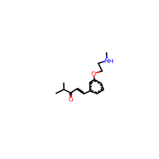 CNCCOc1cccc(/C=C/C(=O)C(C)C)c1